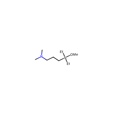 CC[Si](CC)(CCCN(C)C)OC